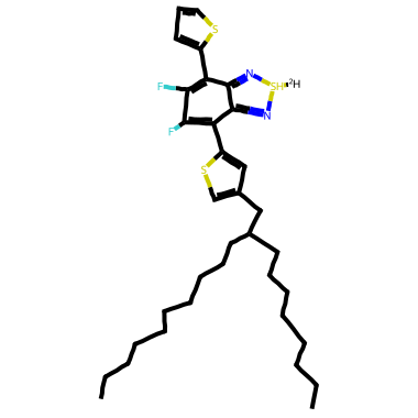 [2H][SH]1N=c2c(-c3cccs3)c(F)c(F)c(-c3cc(CC(CCCCCCCC)CCCCCCCCCC)cs3)c2=N1